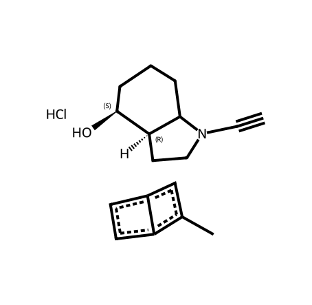 C#CN1CC[C@@H]2C1CCC[C@@H]2O.Cc1cc2ccc1-2.Cl